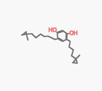 CC1(CCCCCCc2cc(CCCCC3(C)CC3)c(O)cc2O)CC1